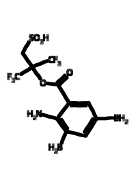 Bc1cc(B)c(N)c(C(=O)OC(CS(=O)(=O)O)(C(F)(F)F)C(F)(F)F)c1